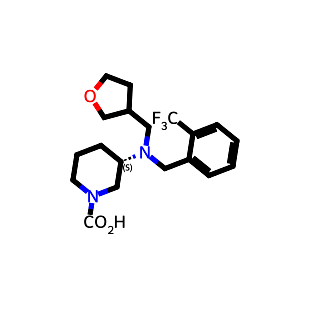 O=C(O)N1CCC[C@H](N(Cc2ccccc2C(F)(F)F)CC2CCOC2)C1